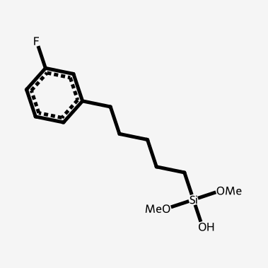 CO[Si](O)(CCCCCc1cccc(F)c1)OC